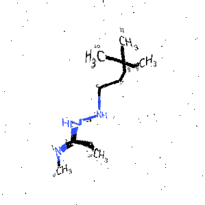 C/N=C(\C)NNCCC(C)(C)C